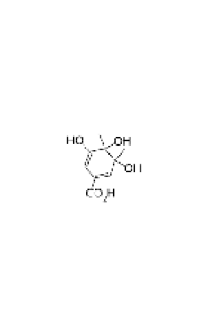 CC1(O)C=C(C(=O)O)C=C(O)C1(C)O